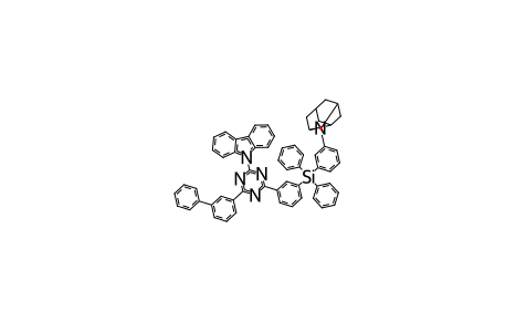 c1ccc(-c2cccc(-c3nc(-c4cccc([Si](c5ccccc5)(c5ccccc5)c5cccc(N6C7CC8CC(C7)CC6C8)c5)c4)nc(-n4c5ccccc5c5ccccc54)n3)c2)cc1